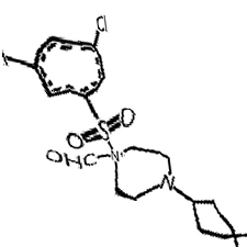 O=C[N+]1(S(=O)(=O)c2cc(Cl)cc(Cl)c2)CCN(C2CC(F)(F)C2)CC1